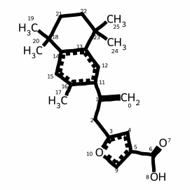 C=C(Cc1cc(C(=O)O)co1)c1cc2c(cc1C)C(C)(C)CCC2(C)C